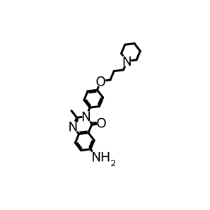 Cc1nc2ccc(N)cc2c(=O)n1-c1ccc(OCCCN2CCCCC2)cc1